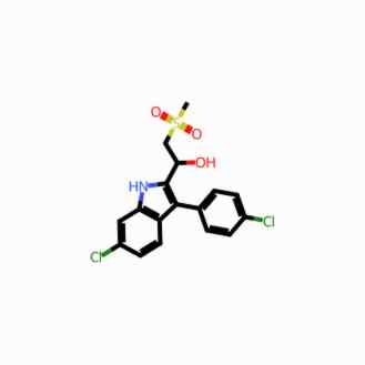 CS(=O)(=O)CC(O)c1[nH]c2cc(Cl)ccc2c1-c1ccc(Cl)cc1